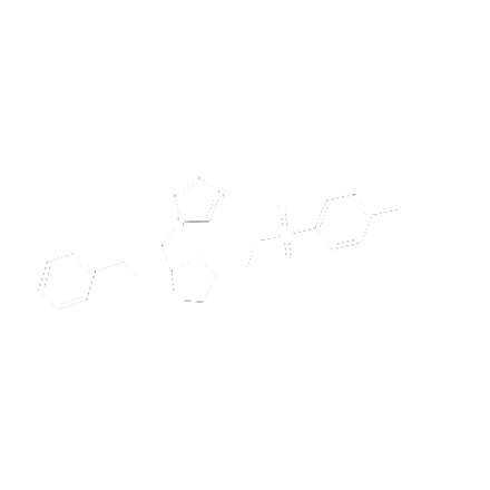 Cc1ccc(S(=O)(=O)OC[C@@H]2CO[C@@](CCc3ccccc3)(Cn3ccnc3)O2)cc1